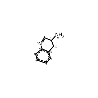 NC1C=Nc2ccccc2C1